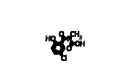 CN(C(=O)O)C(=O)c1cc(Cl)ccc1O